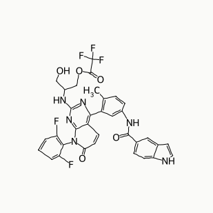 Cc1ccc(NC(=O)c2ccc3[nH]ccc3c2)cc1-c1nc(NC(CO)COC(=O)C(F)(F)F)nc2c1ccc(=O)n2-c1c(F)cccc1F